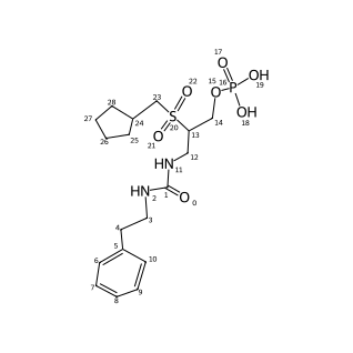 O=C(NCCc1ccccc1)NCC(COP(=O)(O)O)S(=O)(=O)CC1CCCC1